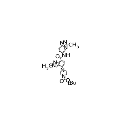 Cc1nnc2ccc(NC(=O)c3ccc(N4CCN(C(=O)OC(C)(C)C)CC4)c4cn(C)nc34)cn12